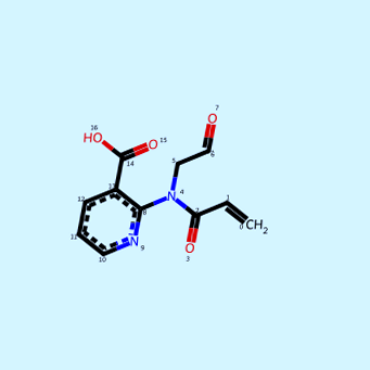 C=CC(=O)N(C[C]=O)c1ncccc1C(=O)O